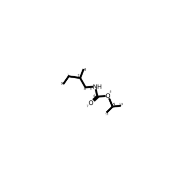 CCC(C)CNC(=O)OC(C)C